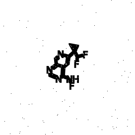 FNc1ncnc2cnc(C3(C(F)F)CC3)cc12